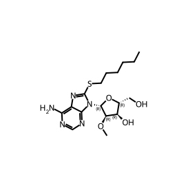 CCCCCCSc1nc2c(N)ncnc2n1[C@@H]1O[C@H](CO)[C@@H](O)[C@H]1OC